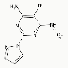 CC[C@@H](C)Nc1nc(-n2cccn2)nc(N)c1Br